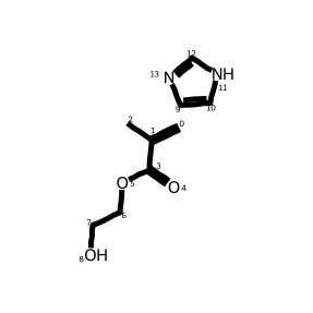 C=C(C)C(=O)OCCO.c1c[nH]cn1